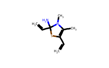 C=CC1=C(C)N(C)C(N)(C=C)S1